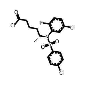 C[C@H](CCCC(=O)Cl)N(c1cc(Cl)ccc1F)S(=O)(=O)c1ccc(Cl)cc1